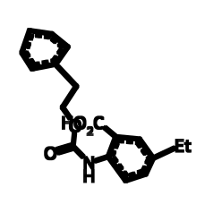 CCc1ccc(NC(=O)OCCc2ccccc2)c(C(=O)O)c1